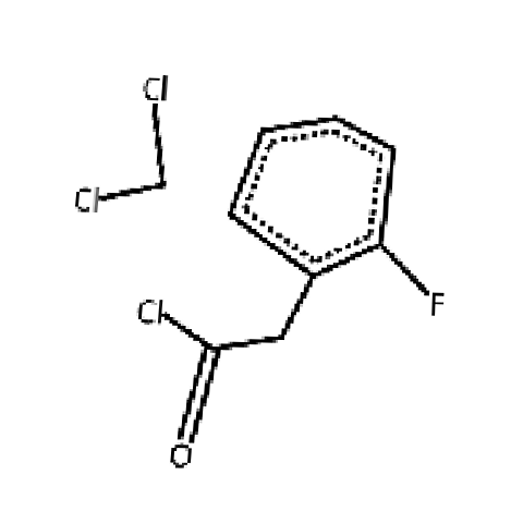 ClCCl.O=C(Cl)Cc1ccccc1F